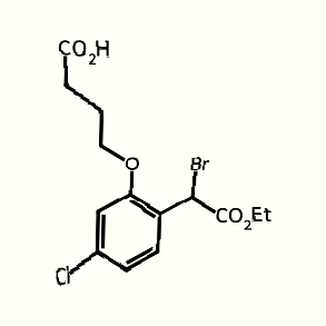 CCOC(=O)C(Br)c1ccc(Cl)cc1OCCCC(=O)O